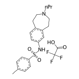 CCCN1CCc2ccc(NS(=O)(=O)c3ccc(C)cc3)cc2CC1.O=C(O)C(F)(F)F